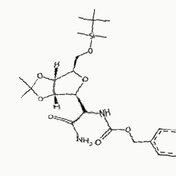 CC1(C)O[C@@H]2[C@H](O1)[C@@H](CO[Si](C)(C)C(C)(C)C)O[C@H]2C(NC(=O)OCc1ccccc1)C(N)=O